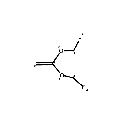 C=C(OCF)OCF